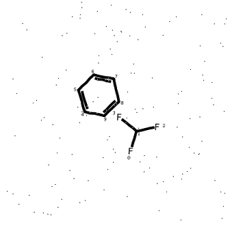 F[C](F)F.[c]1ccccc1